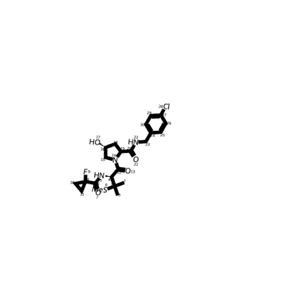 CSC(C)(C)[C@H](NC(=O)C1(F)CC1)C(=O)N1C[C@H](O)CC1C(=O)NCc1ccc(Cl)cc1